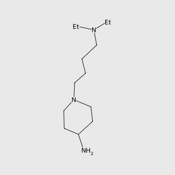 CCN(CC)CCCCN1CCC(N)CC1